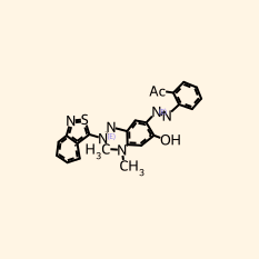 CC(=O)c1ccccc1/N=N/c1cc(/N=N/c2snc3ccccc23)c(N(C)C)cc1O